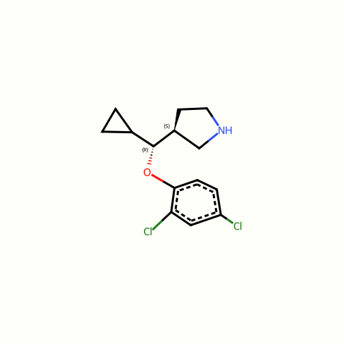 Clc1ccc(O[C@H](C2CC2)[C@H]2CCNC2)c(Cl)c1